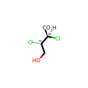 O=C(O)[C@@H](Cl)[C@@H](Cl)CO